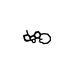 Cc1cccc2oc3c4c(ccc3c12)CCCCCCC4